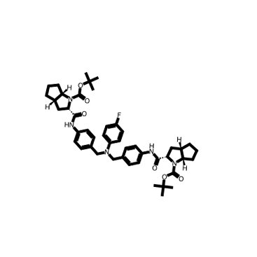 CC(C)(C)OC(=O)N1[C@H](C(=O)Nc2ccc(CN(Cc3ccc(NC(=O)[C@@H]4C[C@@H]5CCC[C@@H]5N4C(=O)OC(C)(C)C)cc3)c3ccc(F)cc3)cc2)C[C@@H]2CCC[C@@H]21